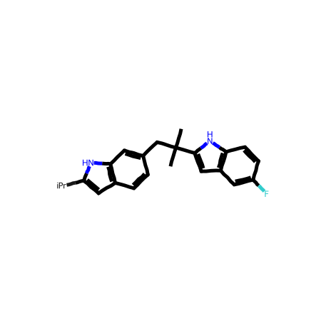 CC(C)c1cc2ccc(CC(C)(C)c3cc4cc(F)ccc4[nH]3)cc2[nH]1